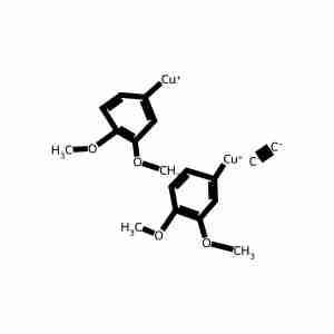 COc1cc[c]([Cu+])cc1OC.COc1cc[c]([Cu+])cc1OC.[C-]#[C-]